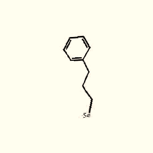 [Se]CCCc1ccccc1